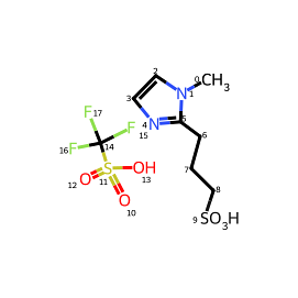 Cn1ccnc1CCCS(=O)(=O)O.O=S(=O)(O)C(F)(F)F